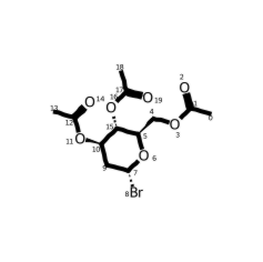 CC(=O)OC[C@H]1O[C@H](Br)C[C@@H](OC(C)=O)[C@@H]1OC(C)=O